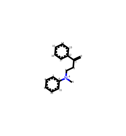 C=C(CCN(C)c1ccccc1)c1ccccc1